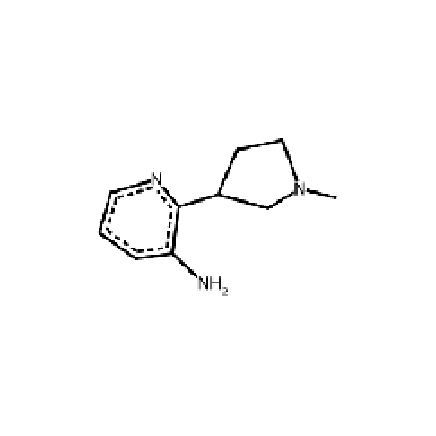 CN1CCC(c2ncccc2N)C1